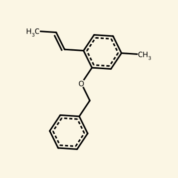 C/C=C/c1ccc(C)cc1OCc1ccccc1